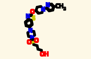 Cc1ccc(N2CCC(Oc3nc4ccc(N5CCN(S(=O)(=O)CCCCO)CC5)cc4s3)CC2)nc1